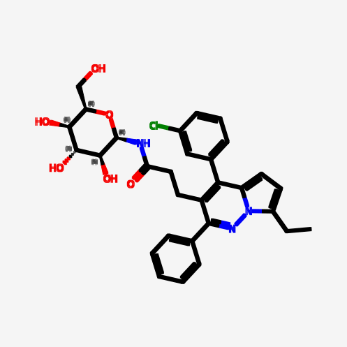 CCc1ccc2c(-c3cccc(Cl)c3)c(CCC(=O)N[C@@H]3O[C@H](CO)[C@H](O)[C@@H](O)[C@@H]3O)c(-c3ccccc3)nn12